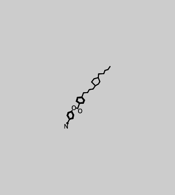 CCCCCC1CCC(CCCCc2ccc(C(=O)Oc3ccc(C#N)cc3)cc2)CC1